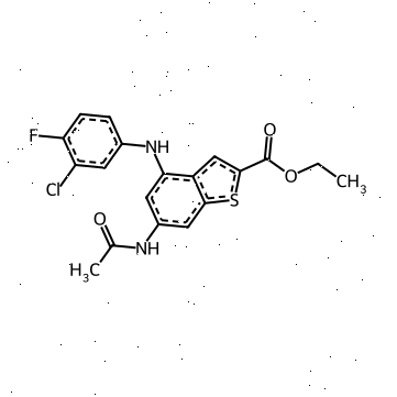 CCOC(=O)c1cc2c(Nc3ccc(F)c(Cl)c3)cc(NC(C)=O)cc2s1